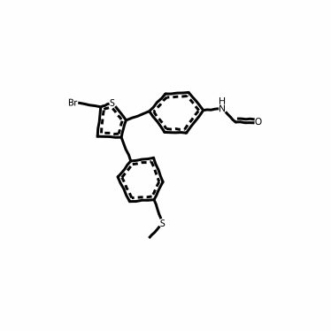 CSc1ccc(-c2cc(Br)sc2-c2ccc(NC=O)cc2)cc1